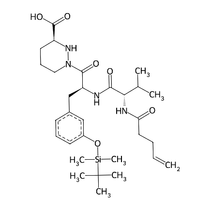 C=CCCC(=O)N[C@H](C(=O)N[C@@H](Cc1cccc(O[Si](C)(C)C(C)(C)C)c1)C(=O)N1CCC[C@@H](C(=O)O)N1)C(C)C